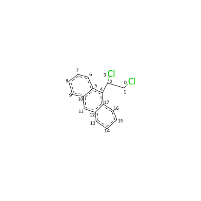 ClCC(Cl)c1c2ccccc2cc2ccccc12